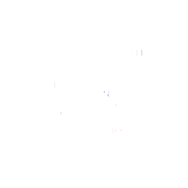 CCCCC(CO)(CCCC)N(CCO)CCO